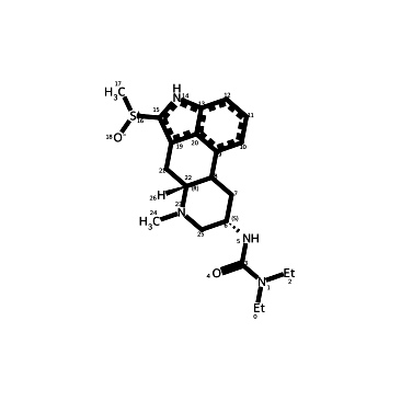 CCN(CC)C(=O)N[C@H]1CC2c3cccc4[nH]c([S+](C)[O-])c(c34)C[C@H]2N(C)C1